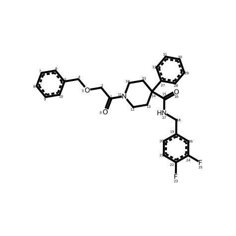 O=C(COCc1ccccc1)N1CCC(C(=O)NCc2ccc(F)c(F)c2)(c2ccccc2)CC1